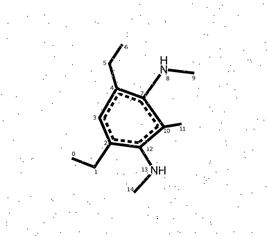 CCc1cc(CC)c(NC)c(C)c1NC